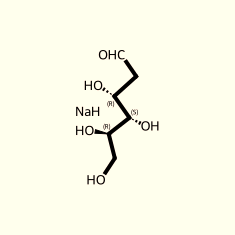 O=CC[C@@H](O)[C@H](O)[C@H](O)CO.[NaH]